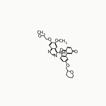 COCCOc1cc2ncnc(Nc3ccc(OCC4CCCCO4)cc3C3=CC(=O)C=CC3=O)c2cc1OC